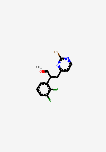 C.O=CC(Cc1ccnc(S)n1)c1cccc(F)c1F